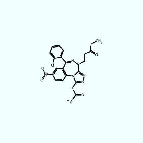 COC(=O)CC[C@@H]1N=C(c2ccccc2Cl)c2cc([N+](=O)[O-])ccc2-n2c(SC(C)=O)nnc21